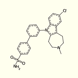 CN1CCc2c(n(-c3cccc(-c4ccc(S(N)(=O)=O)cc4)c3)c3ccc(Cl)cc23)CC1